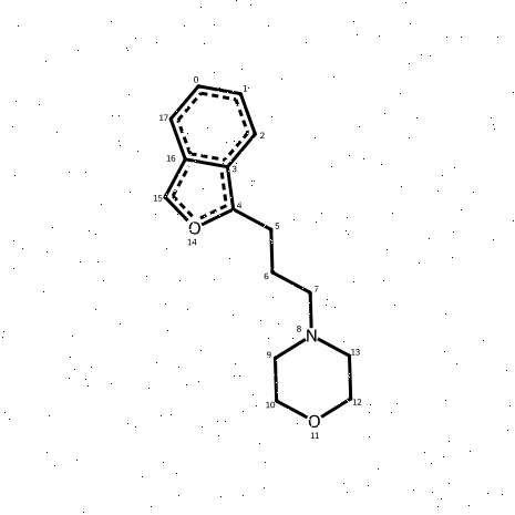 c1ccc2c(CCCN3CCOCC3)occ2c1